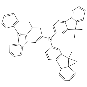 CC1CC(N(c2ccc3c(c2)C(C)(C)c2ccccc2-3)c2ccc3c(c2)C(C)(C)C2(C)C=CC=CC32)=Cc2c1n(-c1ccccc1)c1ccccc21